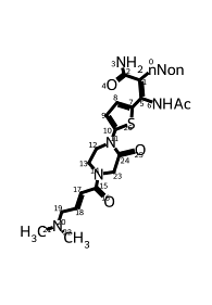 CCCCCCCCCC(C(N)=O)=C(NC(C)=O)c1ccc(N2CCN(C(=O)C=CCN(C)C)CC2=O)s1